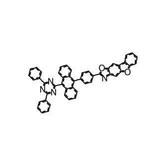 c1ccc(-c2nc(-c3ccccc3)nc(-c3c4ccccc4c(-c4ccc(-c5nc6cc7oc8ccccc8c7cc6o5)cc4)c4ccccc34)n2)cc1